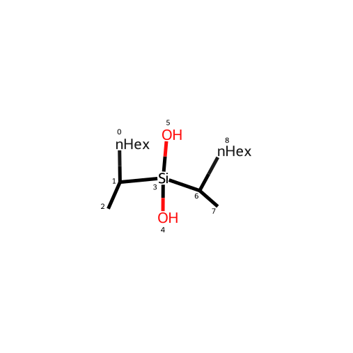 CCCCCCC(C)[Si](O)(O)C(C)CCCCCC